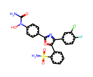 NC(=O)N(O)c1ccc(-c2nc(-c3ccc(F)c(Cl)c3)c(-c3ccccc3S(N)(=O)=O)o2)cc1